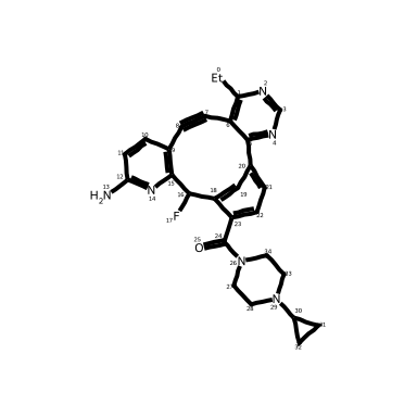 CCc1ncnc2c1C#Cc1ccc(N)nc1C(F)c1cc-2ccc1C(=O)N1CCN(C2CC2)CC1